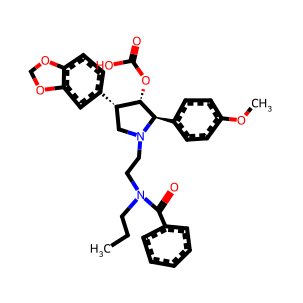 CCCN(CCN1C[C@H](c2ccc3c(c2)OCO3)[C@H](OC(=O)O)[C@H]1c1ccc(OC)cc1)C(=O)c1ccccc1